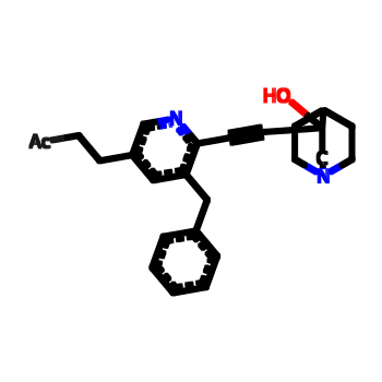 CC(=O)CCc1cnc(C#CC2(O)CN3CCC2CC3)c(Cc2ccccc2)c1